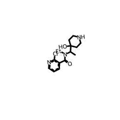 CCN(C(=O)c1cccnc1Cl)C(C)C1(O)CCNCC1